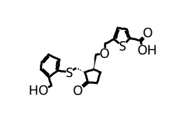 O=C(O)c1ccc(COC[C@H]2CCC(=O)[C@@H]2CSc2ccccc2CO)s1